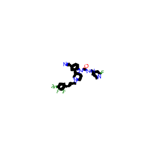 N#Cc1ccc2c(c1)c1c(n2C(=O)NCc2ccnc(F)c2)CCN(CC=Cc2ccc(Br)c(F)c2F)C1